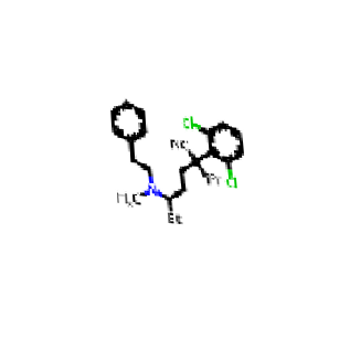 CCC(CCC(C#N)(c1c(Cl)cccc1Cl)C(C)C)N(C)CCc1ccccc1